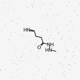 CNNC(=O)CCC=N